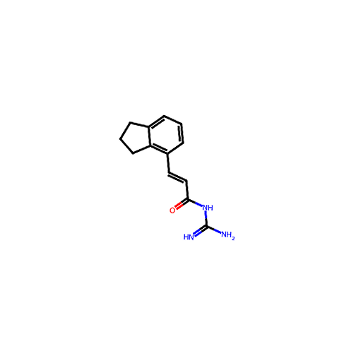 N=C(N)NC(=O)/C=C/c1cccc2c1CCC2